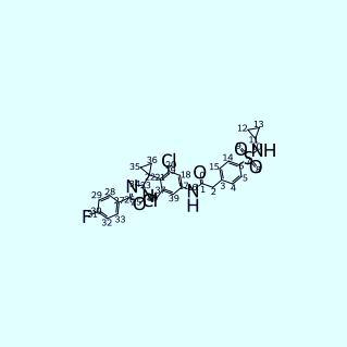 O=C(Cc1ccc(S(=O)(=O)NC2CC2)cc1)Nc1cc(Cl)c(C2(c3noc(-c4ccc(F)cc4)n3)CC2)c(Cl)c1